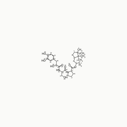 CC(CC1CCC(C)(C)C1(C)C)OC(=O)C1CCCN1C(=O)C(CO)NC(=O)C(O)Cc1ccc(O)c(O)c1